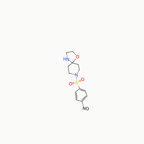 O=Nc1ccc(S(=O)(=O)N2CCC3(CC2)NCCO3)cc1